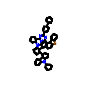 c1ccc(-c2ccc(-c3nc(-c4ccccc4-n4c5ccccc5c5c(-c6cccc7c6c6ccccc6n7-c6ccccc6)cccc54)nc(-c4cccc5sc6ccccc6c45)n3)cc2)cc1